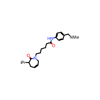 CNCc1ccc(NC(=O)CCCCCN2CC=CCC(C(C)C)C2=O)cc1